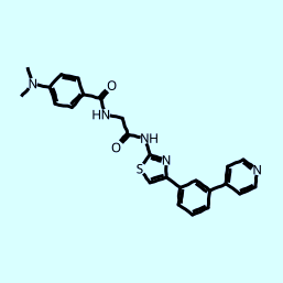 CN(C)c1ccc(C(=O)NCC(=O)Nc2nc(-c3cccc(-c4ccncc4)c3)cs2)cc1